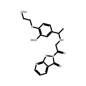 COCCOc1ccc(C(C)NCC(=O)n2sc3ncccc3c2=O)cc1OC